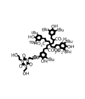 CC(C)(C)c1cc(CC(CC(CC(Cc2cc(C(C)(C)C)c(O)c(C(C)(C)C)c2)C(=O)O)(CC(Cc2cc(C(C)(C)C)c(O)c(C(C)(C)C)c2)C(=O)O)CC(Cc2cc(C(C)(C)C)c(O)c(C(C)(C)C)c2)C(=O)O)C(=O)O)cc(C(C)(C)C)c1O.O=c1n(CCO)c(=O)n(CCO)c(=O)n1CCO